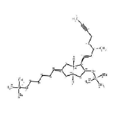 CC#CCS[C@H](C)/C=C/[C@H]1C(O[Si](C)(C)C(C)(C)C)C[C@@H]2C/C(=C\CCCCO[Si](C)(C)C(C)(C)C)C[C@@H]21